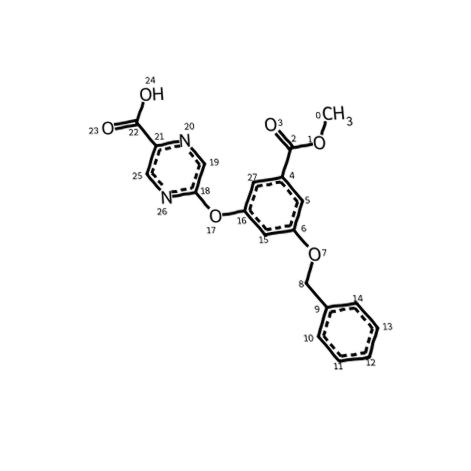 COC(=O)c1cc(OCc2ccccc2)cc(Oc2cnc(C(=O)O)cn2)c1